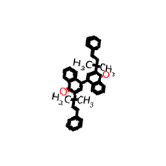 CC(C)(CCc1ccccc1)C1=CC(C2C=C(C(C)(C)CCc3ccccc3)C(=O)c3ccccc32)c2ccccc2C1=O